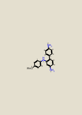 COc1ccc(Nc2cc(N)ccc2-c2ccc(N)cc2)cc1